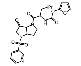 CC(C)CC(NC(=O)Oc1ccco1)C(=O)N1CCC2C1C(=O)CN2S(=O)(=O)c1cccnc1